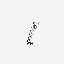 C=CCOCCCOCCCOCCCOCCCOC(=O)CCS